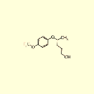 CC(CCCO)Oc1ccc(OC(F)(F)F)cc1